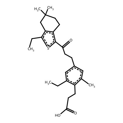 CCc1cc(CCC(=O)c2sc(CC)c3c2CCC(C)(C)C3)cc(C)c1CCC(=O)O